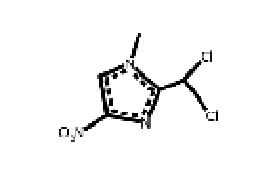 Cn1cc([N+](=O)[O-])nc1C(Cl)Cl